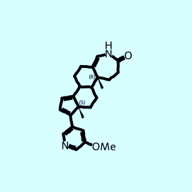 COc1cncc(C2=CC=C3C4CCC5=CNC(=O)CC[C@]5(C)C4CC[C@]23C)c1